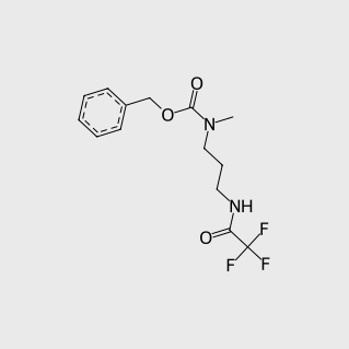 CN(CCCNC(=O)C(F)(F)F)C(=O)OCc1ccccc1